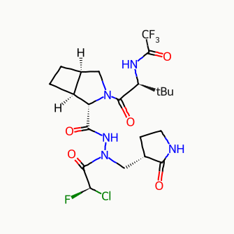 CC(C)(C)[C@H](NC(=O)C(F)(F)F)C(=O)N1C[C@@H]2CC[C@@H]2[C@H]1C(=O)NN(C[C@@H]1CCNC1=O)C(=O)[C@H](F)Cl